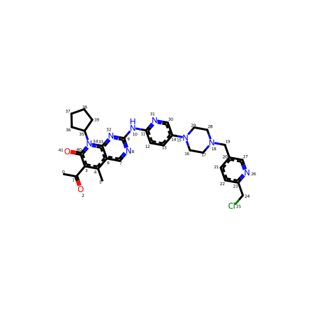 CC(=O)c1c(C)c2cnc(Nc3ccc(N4CCN(Cc5ccc(CCl)nc5)CC4)cn3)nc2n(C2CCCC2)c1=O